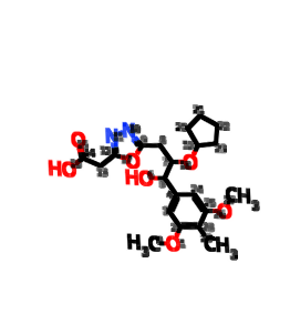 COc1cc(C(O)C(Cc2nnc(CC(=O)O)o2)OC2CCCC2)cc(OC)c1C